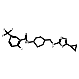 O=C(NC1CCC(CNc2nnc(C3CC3)s2)CC1)c1cc(C(F)(F)F)ccc1Cl